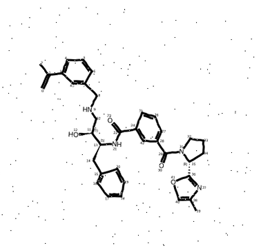 C=C(C)c1cccc(CNC[C@H](O)[C@H](Cc2ccccc2)NC(=O)c2cccc(C(=O)N3CCC[C@@H]3c3nc(C)co3)c2)c1